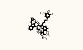 Cc1cc(OCCCc2c3n(c4c(-c5c(C)nn(C)c5C)c(Cl)ccc24)[C@H](C)CN(c2c(C(=O)O)n(CC4COC4)c4ccccc24)C3=O)cc(C)c1Cl